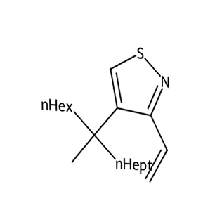 C=Cc1nscc1C(C)(CCCCCC)CCCCCCC